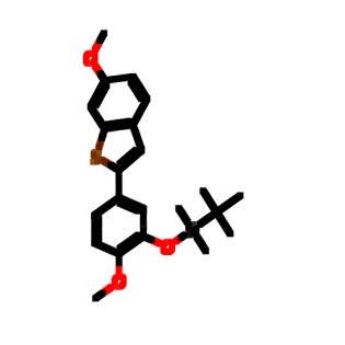 COc1ccc2cc(-c3ccc(OC)c(O[Si](C)(C)C(C)(C)C)c3)sc2c1